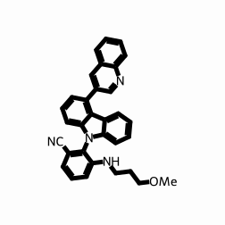 COCCCNc1cccc(C#N)c1-n1c2ccccc2c2c(-c3cnc4ccccc4c3)cccc21